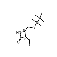 CC[C@H]1C(=O)N[C@H]1CO[Si](C)(C)C(C)(C)C